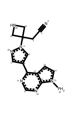 N#CCC1(n2cc(-c3ncnc4c3ccn4P)cn2)CNC1